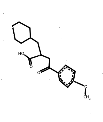 COc1ccc(C(=O)CC(CC2CCCCC2)C(=O)O)cc1